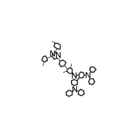 Cc1cccc(-c2cc(-c3ccc(-c4c(C)cc(-n5c6ccc(N(c7ccccc7)c7ccccc7)cc6c6cc(N(c7ccccc7)c7ccccc7)ccc65)cc4C)cc3)nc(-c3cccc(C)c3)n2)c1